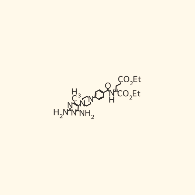 CCOC(=O)CC[C@H](NC(=O)c1ccc(N2CCN(c3c(C)nc(N)nc3N)CC2)cc1)C(=O)OCC